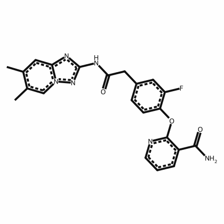 Cc1cc2nc(NC(=O)Cc3ccc(Oc4ncccc4C(N)=O)c(F)c3)nn2cc1C